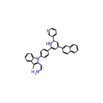 Cc1c(/C=C\N)n(-c2ccc(C3=CC(c4ccc5ccccc5c4)=CC(c4cccnc4)N3)cc2)c2ccccc12